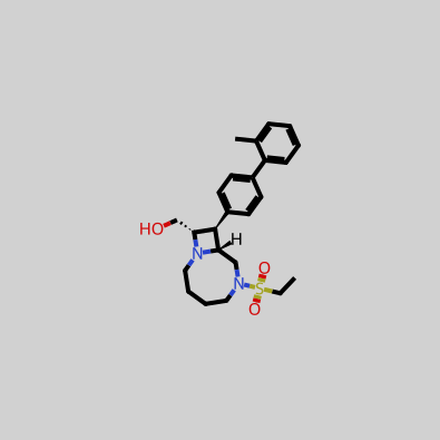 CCS(=O)(=O)N1CCCCN2[C@H](CO)[C@@H](c3ccc(-c4ccccc4C)cc3)[C@@H]2C1